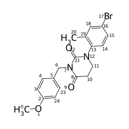 COc1ccc(CN2C(=O)CCN(c3ccc(Br)cc3C)C2=O)cc1